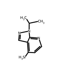 CC(C)n1ncc2c([SiH3])ccnc21